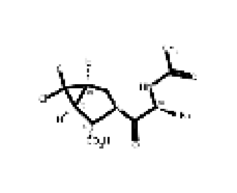 CC(C)(C)[C@H](NC(=O)C(F)(F)F)C(=O)N1C[C@H]2[C@@H]([C@H]1C(=O)O)C2(Cl)Cl